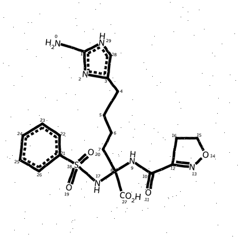 Nc1nc(CCCCC(NC(=O)C2=NOCC2)(NS(=O)(=O)c2ccccc2)C(=O)O)c[nH]1